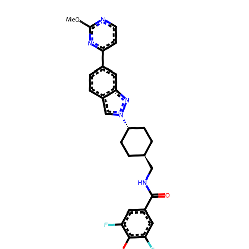 COc1nccc(-c2ccc3cn([C@H]4CC[C@H](CNC(=O)c5cc(F)c(O)c(F)c5)CC4)nc3c2)n1